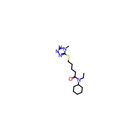 CCN(C(=O)CCCCSc1nnnn1C)C1CCCCC1